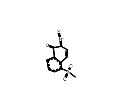 CS(=O)(=O)c1cccc2c1C=CC(=[N+]=[N-])C2=O